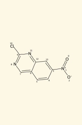 O=[N+]([O-])c1ccc2cnc(Cl)nc2c1